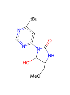 COCC1NC(=O)N(c2cc(C(C)(C)C)ncn2)C1O